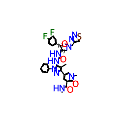 CNC(=O)c1cc(-c2nn(-c3ccccc3)c(NC(=O)N[C@@H]3CN(Cc4csnn4)O[C@H]3c3ccc(F)c(F)c3)c2C)cn(C)c1=O